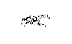 CCOC[C@H]1O[C@@H](n2ccc(=O)n(C)c2=O)C(O)[C@H]1OCC